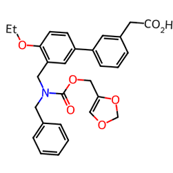 CCOc1ccc(-c2cccc(CC(=O)O)c2)cc1CN(Cc1ccccc1)C(=O)OCC1=COCO1